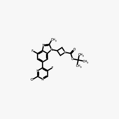 Cc1nc2c(F)cc(-c3nc(Cl)ncc3F)cc2n1C1CN(C(=O)OC(C)(C)C)C1